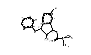 CC1C(CC(=O)N(C)C)c2cc(I)ccc2N1Cc1ccccc1